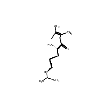 C/C(I)=C(\C)C(=O)[C@@H](N)CCCNC(N)N